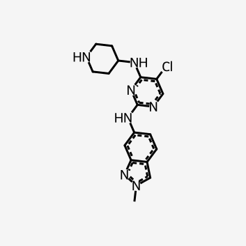 Cn1cc2ccc(Nc3ncc(Cl)c(NC4CCNCC4)n3)cc2n1